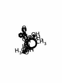 C[C@H]1CC/C=C\[C@@H]2C[C@@]2(C(=O)NS(=O)(=O)C2(C)CC2)NC(=O)[C@@H]2C[C@@H](Oc3ncc(N4CCOCC4)c4ccccc34)CN2C(=O)[C@@H](NC(=O)O)[C@H](C)C1